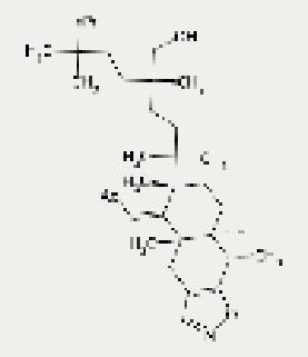 CCCC(C)(C)CC[C@](C)(CO)CCC(C)(C)[C@]1(C)CC[C@H]2[C@H](C)c3oncc3C[C@]2(C)/C1=C/C(C)=O